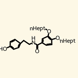 CCCCCCCOc1ccc(C(=O)NCCc2ccc(O)cc2)cc1OCCCCCCC